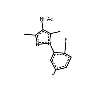 CC(=O)Nc1c(C)nn(-c2cc(F)ccc2F)c1C